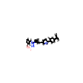 Bc1cccc(CNC(=C)CC2=CN=C(C3=CC=C(C(C)C)CC3)CC2)c1